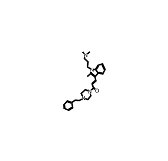 Cc1c(C=CC(=O)N2CCN(CCc3ccccc3)CC2)c2ccccc2n1CCCN(C)C